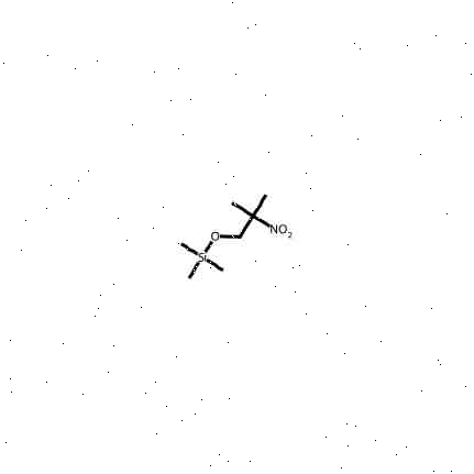 CC(C)(CO[Si](C)(C)C)[N+](=O)[O-]